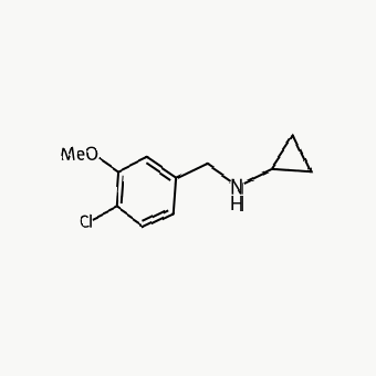 COc1cc(CNC2CC2)ccc1Cl